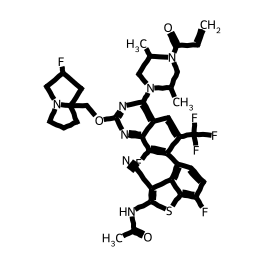 C=CC(=O)N1CC(C)N(c2nc(OCC34CCCN3CC(F)C4)nc3c(F)c(-c4ccc(F)c5sc(NC(C)=O)c(C#N)c45)c(C(F)(F)F)cc23)CC1C